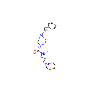 O=C(NCCCN1CCCCC1)N1CCN(C/C=C/c2ccccc2)CC1